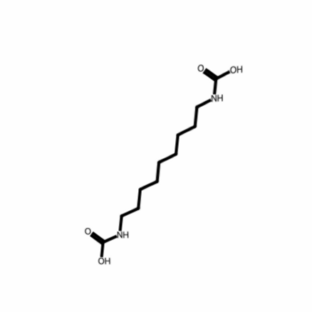 O=C(O)NCCCCCCCCCNC(=O)O